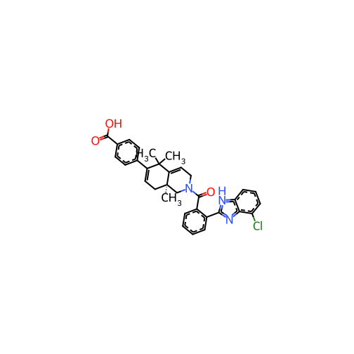 CC1(C)C(c2ccc(C(=O)O)cc2)=CC[C@]2(C)CN(C(=O)c3ccccc3-c3nc4c(Cl)cccc4[nH]3)CC=C12